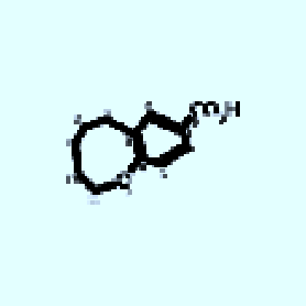 O=C(O)c1ccc2c(c1)CCCCCO2